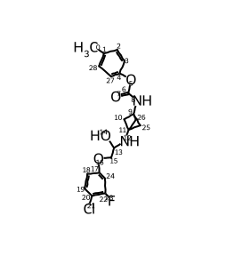 Cc1ccc(OC(=O)NC23CC(NC(O)COc4ccc(Cl)c(F)c4)(C2)C3)cc1